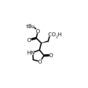 CC(C)(C)OC(=O)[C@@H](CC(=O)O)C1NCOC1=O